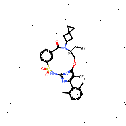 Cc1cccc(C)c1-c1nc2nc(c1C(F)(F)F)OC[C@@H](CC(C)C)N(C1CC3(CC3)C1)C(=O)c1cccc(c1)S(=O)(=O)N2